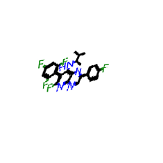 CC(C)C(C)Nc1c(-c2c(F)cc(F)cc2F)c(F)nc2ncc(-c3ccc(F)cc3)nc12